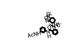 CC(=O)Nc1cccc(NC(=O)c2ccccc2-n2nc3c([n+]2[O-])CCc2c-3no[n+]2[O-])c1